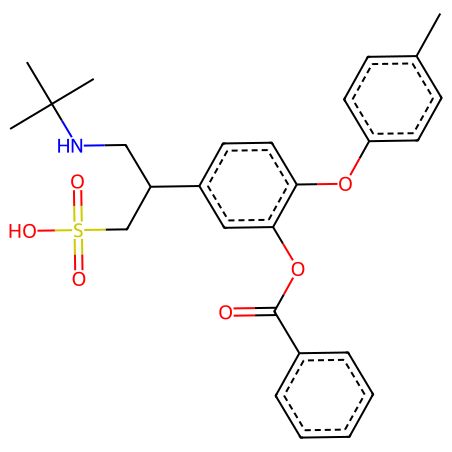 Cc1ccc(Oc2ccc(C(CNC(C)(C)C)CS(=O)(=O)O)cc2OC(=O)c2ccccc2)cc1